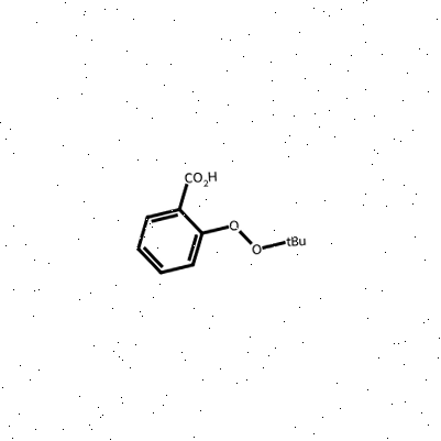 CC(C)(C)OOc1ccccc1C(=O)O